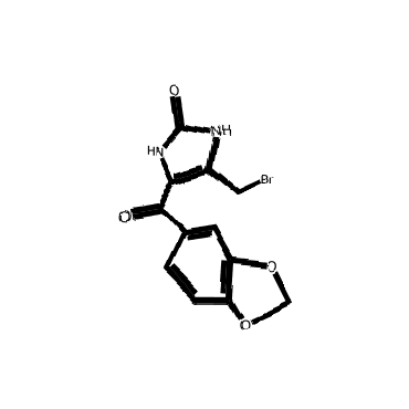 O=C(c1ccc2c(c1)OCO2)c1[nH]c(=O)[nH]c1CBr